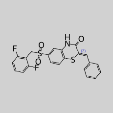 O=C1Nc2cc(S(=O)(=O)Cc3c(F)cccc3F)ccc2S/C1=C\c1ccccc1